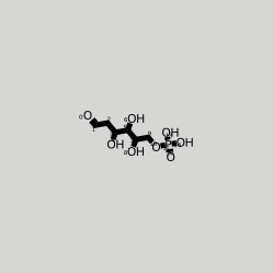 O=CCC(O)C(O)C(O)COP(=O)(O)O